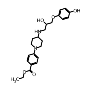 CCOC(=O)c1ccc(N2CCC(NCC(O)COc3ccc(O)cc3)CC2)cc1